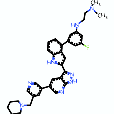 CN(C)CCNc1cc(F)cc(-c2cccc3[nH]c(-c4n[nH]c5ncc(-c6cncc(CN7CCCCC7)c6)cc45)cc23)c1